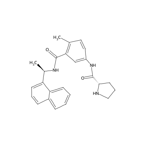 Cc1ccc(NC(=O)[C@@H]2CCCN2)cc1C(=O)N[C@H](C)c1cccc2ccccc12